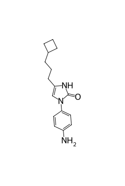 Nc1ccc(-n2cc(CCCC3CCC3)[nH]c2=O)cc1